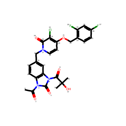 CC(=O)n1c(=O)n(C(=O)C(C)(C)O)c2cc(Cn3ccc(OCc4ccc(F)cc4F)c(Cl)c3=O)ccc21